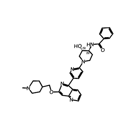 CN1CCC(COc2cc3ncccc3c(-c3ccc(N4CC[C@H](NC(=O)c5ccccc5)[C@@H](O)C4)nc3)n2)CC1